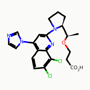 C[C@@H](OCCC(=O)O)[C@@H]1CCCN1c1cc(-n2ccnc2)c2ccc(Cl)c(Cl)c2n1